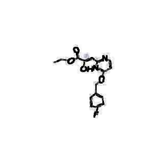 CCOC(=O)/C(O)=C/c1nccc(OCc2ccc(F)cc2)n1